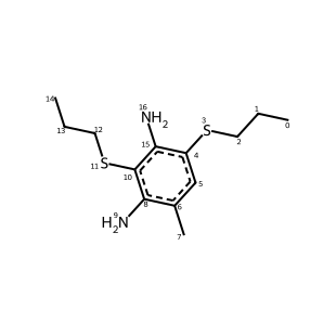 CCCSc1cc(C)c(N)c(SCCC)c1N